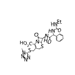 CCNC(=O)NC(C(=O)N[C@@H]1C(=O)N2C(C(=O)O)=C(CSc3nnnn3C)CSC12)c1ccccc1